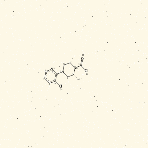 C[C@@H]1CN(c2ncccc2Cl)CCN1C(=O)Cl